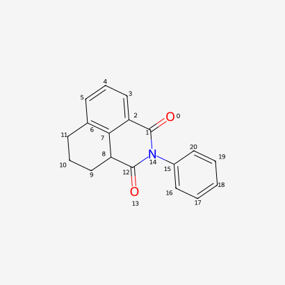 O=C1c2cccc3c2C(CCC3)C(=O)N1c1ccccc1